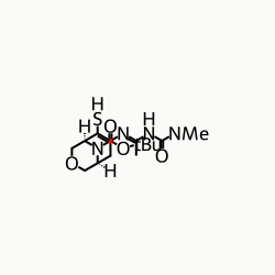 CNC(=O)N/C(C)=N/C1=C(S)[C@@H]2COC[C@H](C1)N2C(=O)OC(C)(C)C